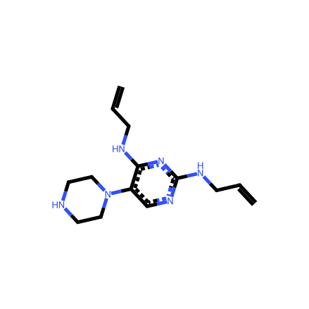 C=CCNc1ncc(N2CCNCC2)c(NCC=C)n1